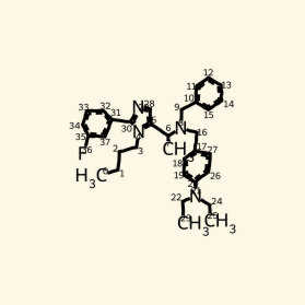 CCCCn1c(C(C)N(Cc2ccccc2)Cc2ccc(N(CC)CC)cc2)cnc1-c1cccc(F)c1